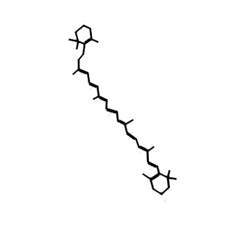 CC1=C(/C=C/C(C)=C/C=C/C(C)=C/C=C/C=C(C)/C=C/C=C(\C)CCC2=C(C)C[C@@H](O)CC2(C)C)C(C)(C)C[C@H](O)C1